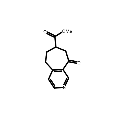 COC(=O)C1CCc2ccncc2C(=O)C1